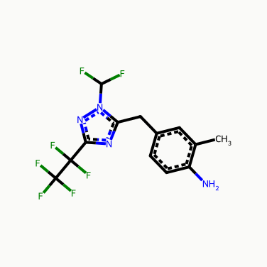 Cc1cc(Cc2nc(C(F)(F)C(F)(F)F)nn2C(F)F)ccc1N